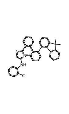 CC1(C)c2ccccc2-c2c(-c3cccc4c3c3ccccc3c3ncc(Nc5ccccc5Cl)n43)cccc21